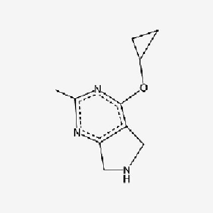 Cc1nc2c(c(OC3CC3)n1)CNC2